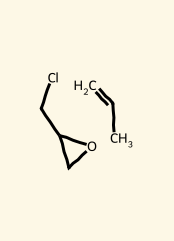 C=CC.ClCC1CO1